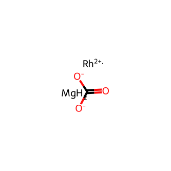 O=C([O-])[O-].[MgH2].[Rh+2]